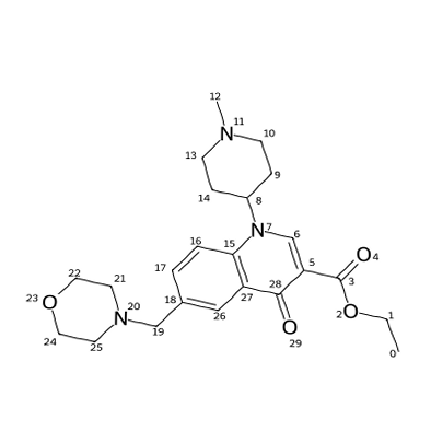 CCOC(=O)c1cn(C2CCN(C)CC2)c2ccc(CN3CCOCC3)cc2c1=O